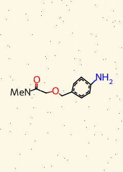 CNC(=O)COCc1ccc(N)cc1